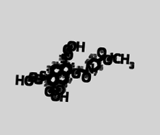 CCOC(=O)C1CCN(C(=O)COc2cc(SOOO)c3ccc4c(SOOO)cc(S(=O)(=O)O)c5ccc2c3c45)CC1